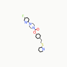 O=C(Oc1ccc(CCSc2ccccn2)cc1)N1CCN(c2ccc(F)cn2)CC1